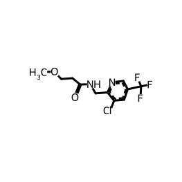 COCCC(=O)NCc1ncc(C(F)(F)F)cc1Cl